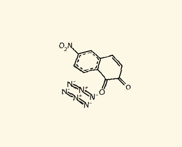 O=C1C=Cc2cc([N+](=O)[O-])ccc2C1=O.[N-]=[N+]=[N-].[N-]=[N+]=[N-]